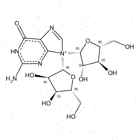 Nc1nc2c(c(=O)[nH]1)N=C[N+]2([C@@H]1O[C@H](CO)[C@@H](O)[C@H]1O)[C@@H]1O[C@H](CO)[C@@H](O)[C@@H]1O